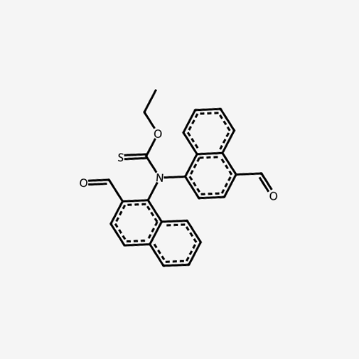 CCOC(=S)N(c1c(C=O)ccc2ccccc12)c1ccc(C=O)c2ccccc12